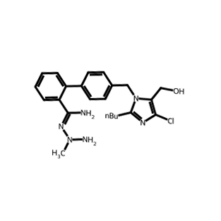 CCCCc1nc(Cl)c(CO)n1Cc1ccc(-c2ccccc2/C(N)=N/N(C)N)cc1